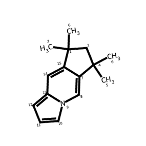 CC1(C)CC(C)(C)c2cn3cccc3cc21